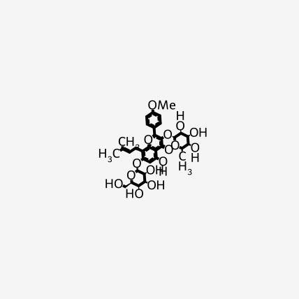 COc1ccc(-c2oc3c(CC=C(C)C)c(O[C@@H]4O[C@H](CO)[C@@H](O)[C@H](O)[C@H]4O)cc(O)c3c(=O)c2O[C@H]2O[C@H](C)[C@H](O)[C@@H](O)[C@H]2O)cc1